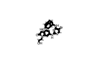 O=C1Cc2ccc(Nc3ncc(Br)c(NC4C5CC6CC4CC(O)(C6)C5)n3)cc2N1CCO